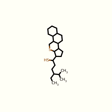 CCC(CCC(S)C1CCC2C3CCC4CCCCC4C3CSC12)C(C)C